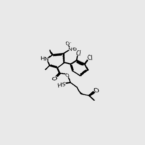 CC(=O)CCC(S)OC(=O)C1=C(C)NC(C)=C([N+](=O)[O-])C1c1cccc(Cl)c1Cl